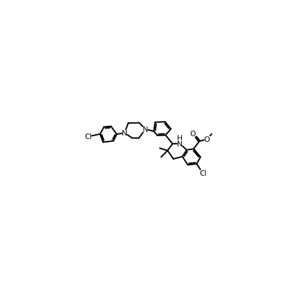 COC(=O)c1cc(Cl)cc2c1NC(c1cccc(N3CCN(c4ccc(Cl)cc4)CC3)c1)C(C)(C)C2